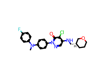 CN(c1ccc(F)cc1)c1ccc(-n2ncc(NC[C@H]3CCCOC3)c(Cl)c2=O)cc1